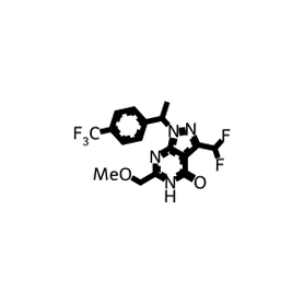 COCc1nc2c(c(C(F)F)nn2C(C)c2ccc(C(F)(F)F)cc2)c(=O)[nH]1